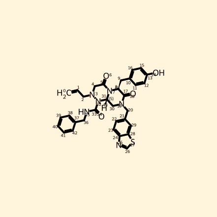 C=CCN1CC(=O)N2[C@@H](Cc3ccc(O)cc3)C(=O)N(Cc3ccc4ncsc4c3)C[C@@H]2N1C(=O)NCc1ccccc1